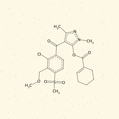 COCc1c(S(C)(=O)=O)ccc(C(=O)c2c(C)nn(C)c2OC(=O)C2=CCCCC2)c1Cl